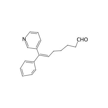 O=CCCCCC=C(c1ccccc1)c1cccnc1